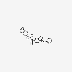 O=C(Nc1ccc2c(c1)CCN2Cc1ccccc1)Oc1ccc2c(c1)CCO2